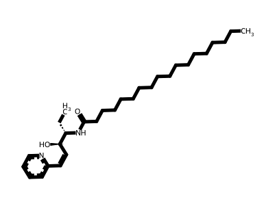 CCCCCCCCCCCCCCCCCC(=O)N[C@@H](CC)[C@H](O)/C=C\c1ccccn1